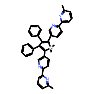 Cc1cccc(-c2ccc(C3=C(c4ccccc4)C(c4ccccc4)=C(c4ccc(-c5cccc(C)n5)nc4)[Si]3(C)C)cn2)n1